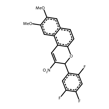 COc1cc2ccc3c(c2cc1OC)C=C([N+](=O)[O-])C(c1cc(F)c(F)cc1F)O3